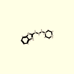 c1ccc2sc(SSSN3CCOCC3)nc2c1